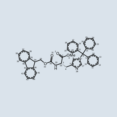 COC(=O)[C@H](Cc1cn(C(c2ccccc2)(c2ccccc2)c2ccccc2)cn1)NC(=O)OCC1c2ccccc2-c2ccccc21